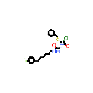 O=C(CN1C(=O)C(Cl)C1SCc1ccccc1)NCCCCCCc1ccc(F)cc1